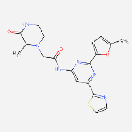 Cc1ccc(-c2nc(NC(=O)CN3CCNC(=O)C3C)cc(-c3nccs3)n2)o1